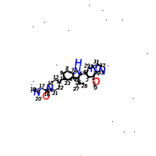 COc1cc(-c2[nH]c3ccc(C4CCN(C(=O)CN(C)C)CC4)cc3c2C(C)C)cn2ccnc12